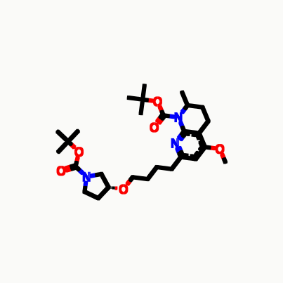 COc1cc(CCCCO[C@@H]2CCN(C(=O)OC(C)(C)C)C2)nc2c1CCC(C)N2C(=O)OC(C)(C)C